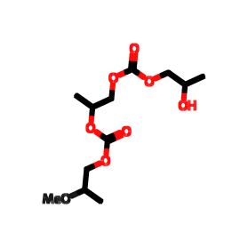 COC(C)COC(=O)OC(C)COC(=O)OCC(C)O